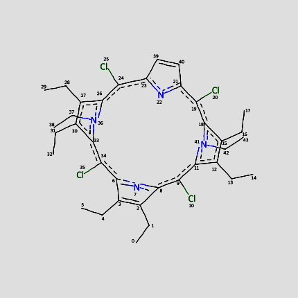 CCC1=C(CC)c2nc1c(Cl)c1c(CC)c(CC)c(c(Cl)c3nc(c(Cl)c4c(CC)c(CC)c(c2Cl)n4CC)C=C3)n1CC